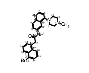 CN1CCN(c2ccnc3ccc(NC(=O)Cc4cccc5c(Br)cccc45)cc23)CC1